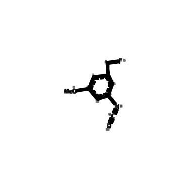 COc1cc(CF)cc(N=C=O)c1